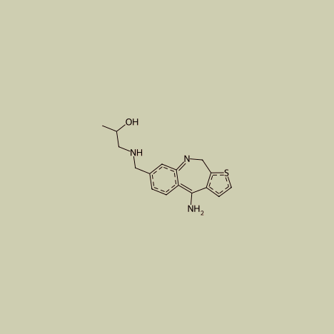 CC(O)CNCc1ccc2c(c1)=NCc1sccc1C=2N